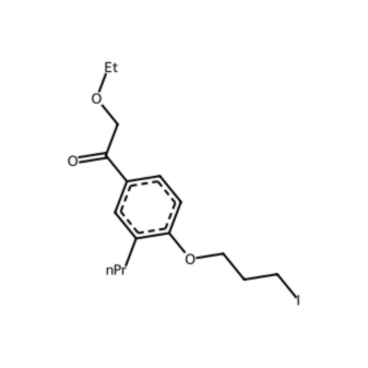 CCCc1cc(C(=O)COCC)ccc1OCCCI